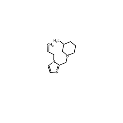 [CH2]C1CCCN(Cc2nccn2CC=C)C1